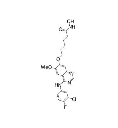 COc1cc2c(Nc3ccc(F)c(Cl)c3)ncnc2cc1OCCCCCC(=O)NO